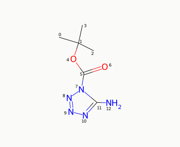 CC(C)(C)OC(=O)n1nnnc1N